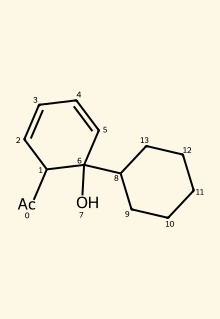 CC(=O)C1C=CC=CC1(O)C1CCCCC1